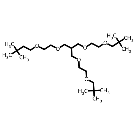 CC(C)(C)CCOCCOCC(COCCOCC(C)(C)C)COCCOCC(C)(C)C